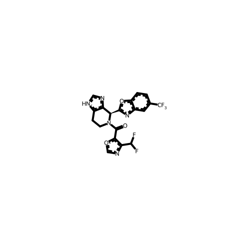 O=C(c1ocnc1C(F)F)N1CCc2[nH]cnc2[C@H]1c1nc2cc(C(F)(F)F)ccc2o1